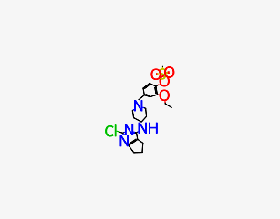 CCOc1cc(CN2CCC(Nc3nc(Cl)nc4c3CCC4)CC2)ccc1OS(C)(=O)=O